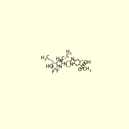 CCC[C@@H](O)c1cnc(N2CCn3c(nc4cc(CO)c(S(C)(=O)=O)cc43)[C@H]2C(C)C)nc1C(F)(F)F